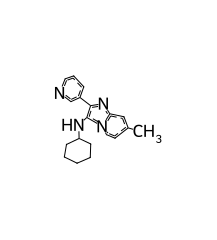 Cc1ccn2c(NC3CCCCC3)c(-c3cccnc3)nc2c1